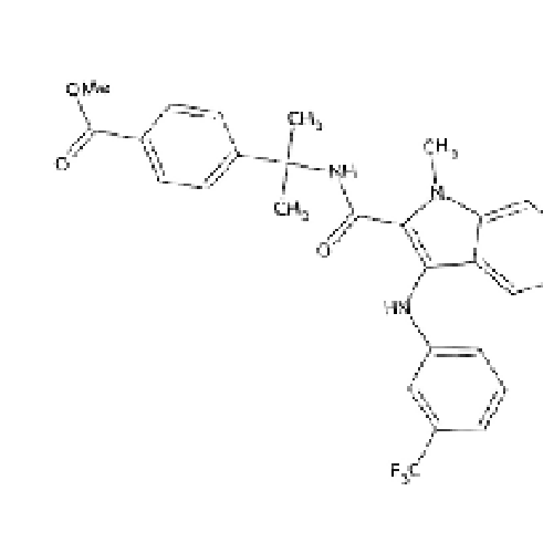 COC(=O)c1ccc(C(C)(C)NC(=O)c2c(Nc3cccc(C(F)(F)F)c3)c3ccccc3n2C)cc1